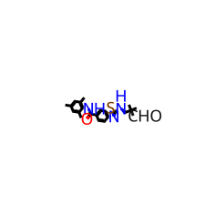 Cc1cc(C)c(NC(=O)c2ccc3nc(NCC(C)(C)C=O)sc3c2)c(C)c1